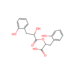 O=C(OC(Cc1ccccc1O)C(=O)O)C(O)Cc1ccccc1O